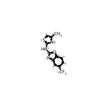 Cc1csc(Nc2nc3cc(C(F)(F)F)ccc3o2)n1